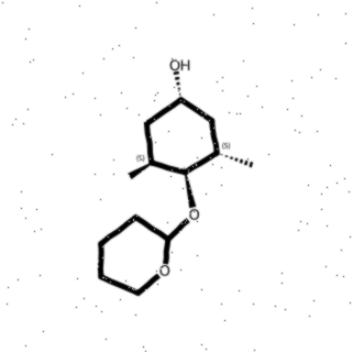 C[C@H]1C[C@H](O)C[C@H](C)[C@H]1OC1CCCCO1